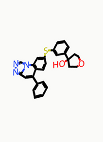 OC1(c2cccc(Sc3ccc4c(-c5ccccc5)cc5nncn5c4c3)c2)CCOCC1